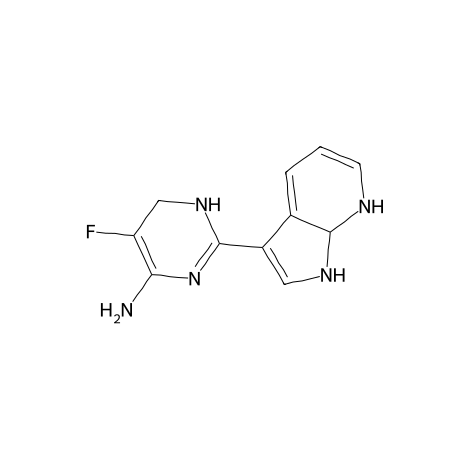 NC1=C(F)CNC(C2=CNC3NC=CC=C23)=N1